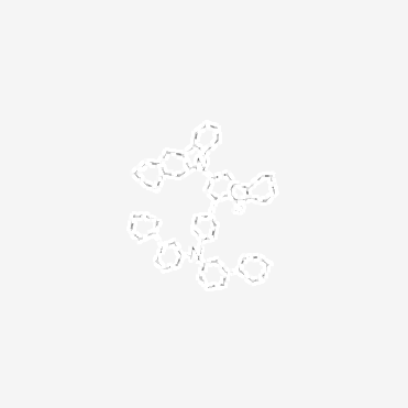 c1ccc(-c2cccc(N(c3ccc(-c4cc(-n5c6ccccc6c6cc7ccccc7cc65)cc5c4sc4ccccc45)cc3)c3cccc(-c4ccccc4)c3)c2)cc1